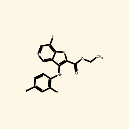 CCOC(=O)c1sc2c(F)cncc2c1Nc1ccc(I)cc1F